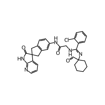 O=CC1(/N=C(\NCC(=O)Nc2ccc3c(c2)CC2(C3)C(=O)Nc3ncccc32)c2ccccc2Cl)CCCCC1